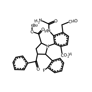 CC(C)(C)OC(=O)C1CC(C(=O)c2ccccc2)C(c2ccccc2F)N1c1c(C(=O)O)ccc(CC=O)c1NC(N)=O